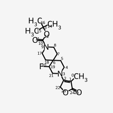 CC1=C(N2CCC3(CCN(C(=O)OC(C)(C)C)CC3)C(F)C2)COC1=O